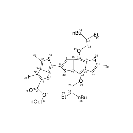 CCCCCCCCOC(=O)c1sc2c(-c3cc4c(OCC(CC)CCCC)c5sc(C)cc5c(OCC(CC)CCCC)c4s3)sc(C)c2c1F